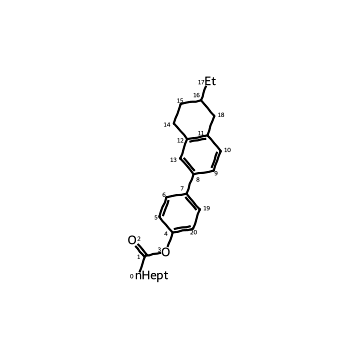 CCCCCCCC(=O)Oc1ccc(-c2ccc3c(c2)CCC(CC)C3)cc1